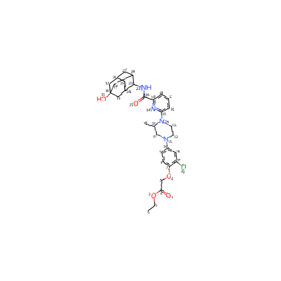 CCOC(=O)COc1ccc(N2CCN(c3cccc(C(=O)NC4C5CC6CC4CC(O)(C6)C5)n3)C(C)C2)cc1Cl